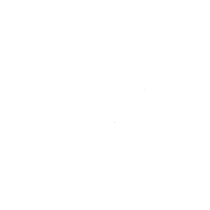 Cn1cc(CC(C)(C)C)c2c(F)c(C(F)(F)F)ccc21